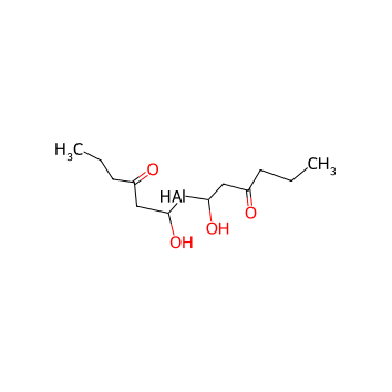 CCCC(=O)C[CH](O)[AlH][CH](O)CC(=O)CCC